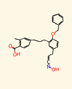 Cc1cc(CCCc2cc(CC=C=NO)ccc2OCc2ccccc2)ccc1C(=O)O